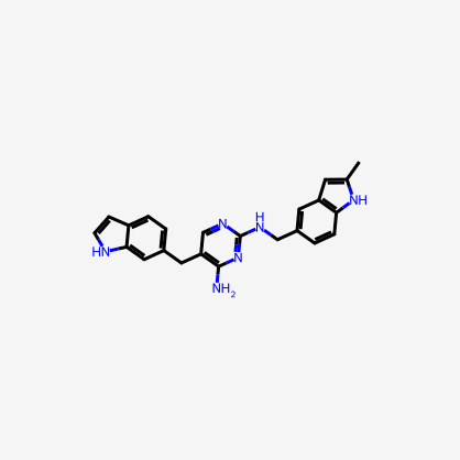 Cc1cc2cc(CNc3ncc(Cc4ccc5cc[nH]c5c4)c(N)n3)ccc2[nH]1